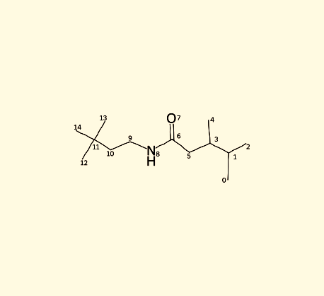 CC(C)C(C)CC(=O)NCCC(C)(C)C